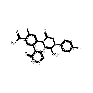 Cc1cc(N2C=C(C(=O)O)[C@H](c3ccc(F)cc3)CC2=O)c(-c2c(Cl)cn[nH]c2=O)cc1C(N)=O